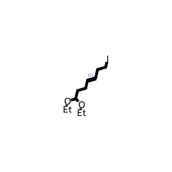 CCOC(CC/C=C/CCI)OCC